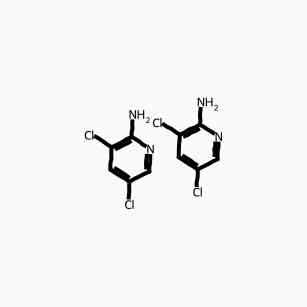 Nc1ncc(Cl)cc1Cl.Nc1ncc(Cl)cc1Cl